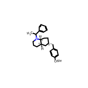 COc1ccc(C[C@H]2CC[C@H]3[C@@H](CCCN3C(C)c3ccccc3)C2)cc1